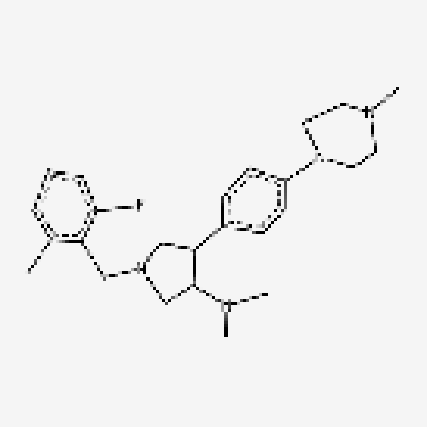 Cc1cccc(F)c1CN1CC(c2ccc(N3CCN(C)CC3)cc2)C(N(C)C)C1